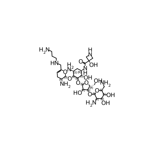 NCCCNCC1=CC[C@@H](N)[C@@H](O[C@H]2[C@H](O[C@@H]3O[C@H](CO)[C@@H](O[C@H]4O[C@@H](CN)[C@@H](O)[C@H](O)[C@H]4N)[C@H]3O)[C@@H](O)[C@H](NC(=O)C3(O)CNC3)C[C@@H]2N)O1